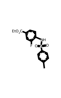 CCOC(=O)c1ccc(NS(=O)(=O)c2ccc(C)cc2)c(F)c1